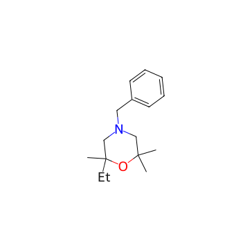 CCC1(C)CN(Cc2ccccc2)CC(C)(C)O1